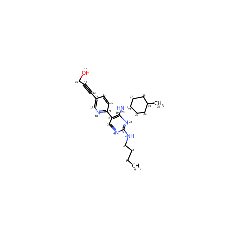 CCCCNc1ncc(-c2ccc(C#CCO)cn2)c(N[C@H]2CC[C@H](C)CC2)n1